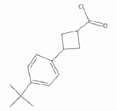 CC(C)(C)c1ccc(C2CC(C(=O)Cl)C2)cc1